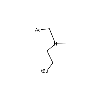 CC(=O)CN(C)CCC(C)(C)C